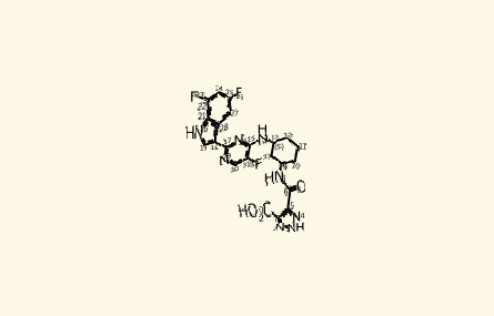 O=C(O)c1n[nH]nc1C(=O)N[C@@H]1CCC[C@H](Nc2nc(-c3c[nH]c4c(F)cc(F)cc34)ncc2F)C1